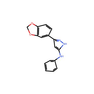 [c]1ccc(Nc2cc(-c3ccc4c(c3)OCO4)n[nH]2)cc1